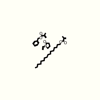 C=C(C)C(=O)OCCCCCCCCCCCCCCCC.C=C(C)C(=O)OCc1ccccc1.C=CN1CCCC1=O